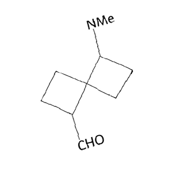 CNC1CCC12CCC2C=O